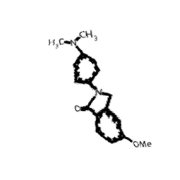 COc1ccc2c(c1)CN(c1ccc(N(C)C)cc1)C2=O